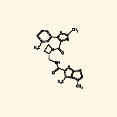 Cc1cccc(-c2sc(C)nc2C(=O)N2CC[C@H]2CNC(=O)c2nc3scc(C)n3c2C)c1